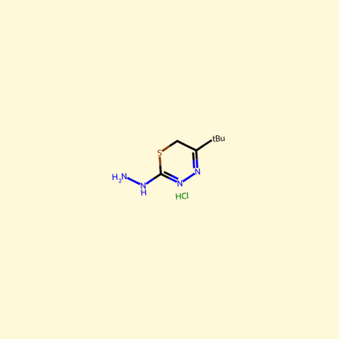 CC(C)(C)C1=NN=C(NN)SC1.Cl